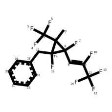 CC1(C(F)(F)F)C(F)(C=C(F)C(F)(F)F)C1(F)Cc1ccccc1